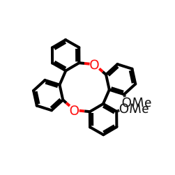 COc1cccc2c1-c1c(OC)cccc1Oc1ccccc1-c1ccccc1O2